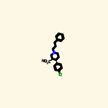 O=C(O)[C@@H]1CN(CCCc2ccccc2)CC[C@@H]1c1ccc(Cl)cc1